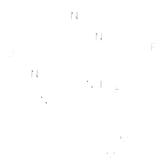 Cc1c(-c2ccccn2)nc2cc(F)cc(F)c2c1Nc1cc(N2CCOCC2)ncc1C1CCS(=O)(=O)CC1